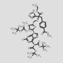 CCOC(=O)C(Cc1ccc(C(=O)OC)cc1)(OC[C@H]1O[C@@H](n2cnc3c(N(C(=O)OC(C)(C)C)C(=O)OC(C)(C)C)nc(Cl)nc32)[C@H](OC(=O)OC(C)(C)C)[C@@H]1C)c1nnn[nH]1